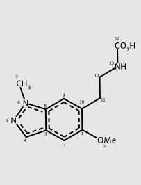 COc1cc2cnn(C)c2cc1CCNC(=O)O